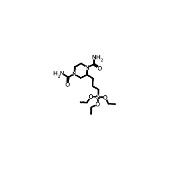 CCO[Si](CCCC1CN(C(N)=O)CCN1C(N)=O)(OCC)OCC